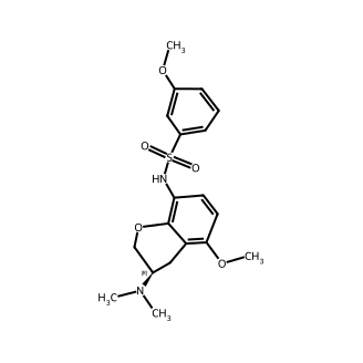 COc1cccc(S(=O)(=O)Nc2ccc(OC)c3c2OC[C@H](N(C)C)C3)c1